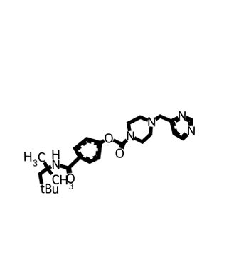 CC(C)(C)CC(C)(C)NC(=O)c1ccc(OC(=O)N2CCN(Cc3ccncn3)CC2)cc1